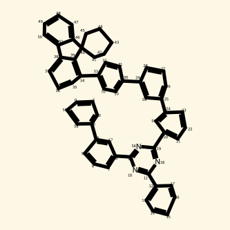 c1ccc(-c2cccc(-c3nc(-c4ccccc4)nc(-c4cccc(-c5cccc(-c6ccc(-c7cccc8c7C7(CCCCC7)c7ccccc7-8)cc6)c5)c4)n3)c2)cc1